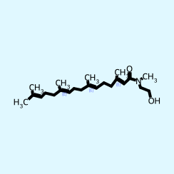 CC(C)=CCC/C(C)=C/CC/C(C)=C/CC/C(C)=C/C(=O)N(C)CCO